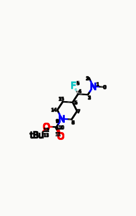 CN(C)C[C@@H](F)C1CCN(C(=O)OC(C)(C)C)CC1